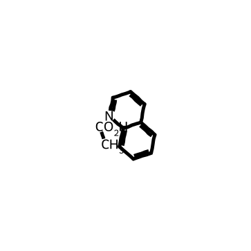 CC(=O)O.c1ccc2ncccc2c1